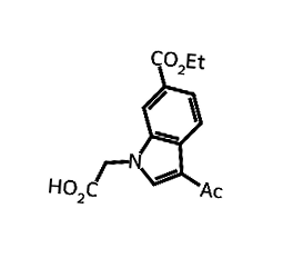 CCOC(=O)c1ccc2c(C(C)=O)cn(CC(=O)O)c2c1